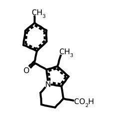 Cc1ccc(C(=O)c2c(C)cc3n2CCCC3C(=O)O)cc1